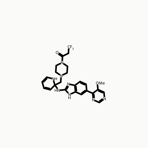 COc1cncnc1-c1ccc2nc(NC3(CN4CCN(C(=O)CC(F)(F)F)CC4)C=CC=CN3)[nH]c2c1